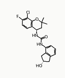 CC1(C)C[C@@H](NC(=O)Nc2cccc3c2C[C@@H](O)C3)c2ccc(F)c(Cl)c2O1